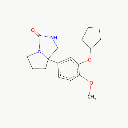 COc1ccc(C23CCCN2C(=O)NC3)cc1OC1CCCC1